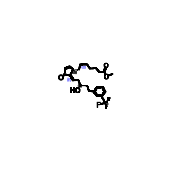 COC(=O)CCC/C=C\C[C@H]1C=CC(=O)/C1=C/C[C@@H](O)CCc1cccc(C(F)(F)F)c1